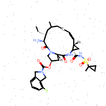 CC[C@@H]1CC(C)CCC=C[C@@H]2C[C@@]2(C(=O)NS(=O)(=O)C2(C)CC2)NC(=O)[C@@H]2C[C@@H](OC(=O)N3Cc4cccc(F)c4C3)CN2C(=O)[C@H]1N